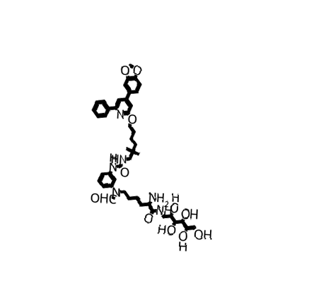 CC(C)(CCCCOc1cc(-c2ccc3c(c2)OCO3)cc(-c2ccccc2)n1)CNC(=O)Nc1cccc(N(C=O)CCCCC(N)C(=O)NCC(O)C(O)C(O)C(O)CO)c1